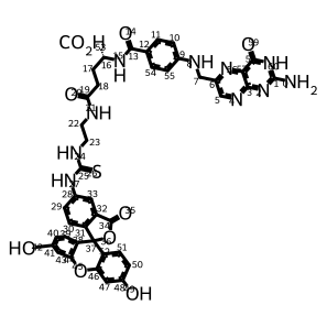 Nc1nc2ncc(CNc3ccc(C(=O)N[C@H](CCC(=O)NCCNC(=S)Nc4ccc5c(c4)C(=O)OC54c5ccc(O)cc5Oc5cc(O)ccc54)C(=O)O)cc3)nc2c(=O)[nH]1